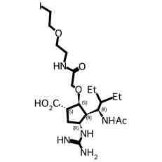 CCC(CC)[C@@H](NC(C)=O)[C@@H]1[C@H](OCC(=O)NCCOCCI)[C@@H](C(=O)O)C[C@H]1NC(=N)N